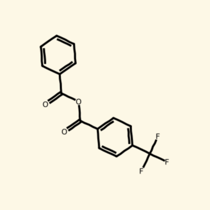 O=C(OC(=O)c1ccc(C(F)(F)F)cc1)c1ccccc1